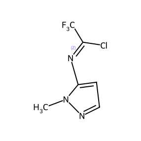 Cn1nccc1/N=C(\Cl)C(F)(F)F